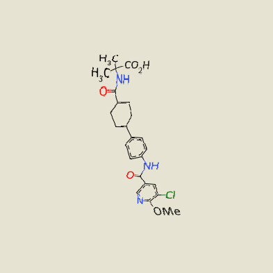 COc1ncc(C(=O)Nc2ccc(C3CCC(C(=O)NC(C)(C)C(=O)O)CC3)cc2)cc1Cl